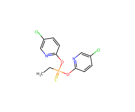 CCP(=S)(Oc1ccc(Cl)cn1)Oc1ccc(Cl)cn1